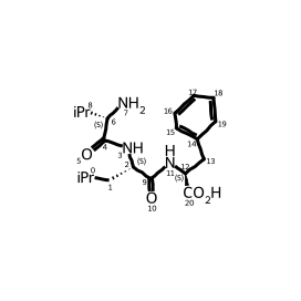 CC(C)C[C@H](NC(=O)[C@@H](N)C(C)C)C(=O)N[C@@H](Cc1ccccc1)C(=O)O